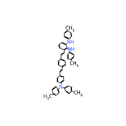 Cc1ccc(Nc2cccc(C=Cc3ccc(C=Cc4ccc(N(c5ccc(C)cc5)c5ccc(C)cc5)cc4)cc3)c2Nc2ccc(C)cc2)cc1